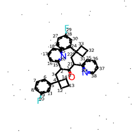 O=C(C(CC1(c2cccc(F)c2)CCC1)c1ccccn1)C(CC1(c2cccc(F)c2)CCC1)c1ccccn1